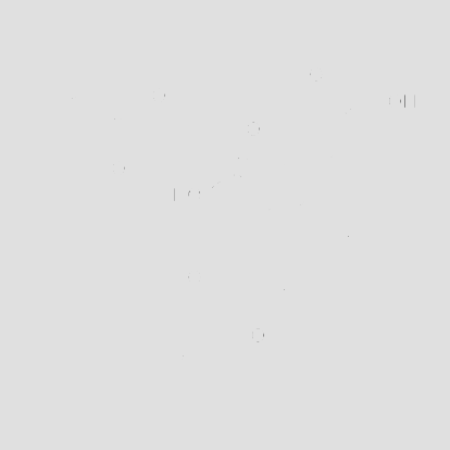 C=C(C)C(=O)OCC(C)CC1(CC(C)COC(=O)C(=C)C)C2(C(=O)O)CC3(C)CC(C)(C2)CC1(C(=O)O)C3